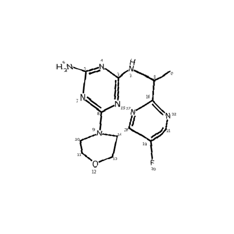 CC(Nc1nc(N)nc(N2CCOCC2)n1)c1ncc(F)cn1